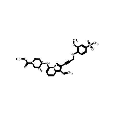 C=Cc1c(C#CCNc2ccc(S(C)(=O)=O)cc2OC)nn2c(N[C@@H]3CCN(C(=O)OC)C[C@@H]3F)cccc12